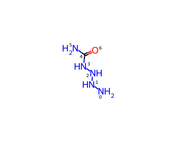 NNNNC(N)=O